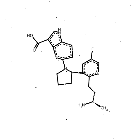 C[C@@H](N)CCc1ncc(F)cc1[C@H]1CCCN1c1ccc2[nH]cc(C(=O)O)c2n1